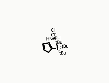 C[C](C)(C)[Ti+2]([C]1=CC=CC1)([C](C)(C)C)[C](C)(C)C.N=P.[Cl-].[Cl-]